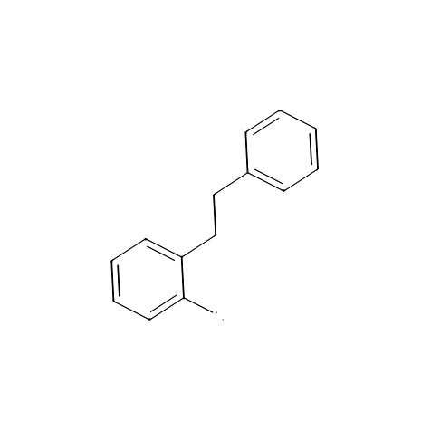 Nc1ccccc1CCc1ccccc1